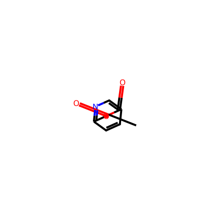 O=c1oc(=O)c2ccc1cn2